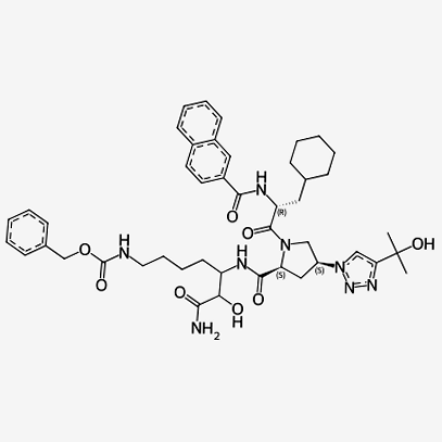 CC(C)(O)c1cn([C@H]2C[C@@H](C(=O)NC(CCCCNC(=O)OCc3ccccc3)C(O)C(N)=O)N(C(=O)[C@@H](CC3CCCCC3)NC(=O)c3ccc4ccccc4c3)C2)nn1